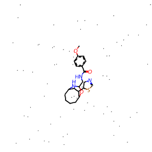 COc1ccc(C(=O)NCC2NC3CCCCC(O2)C(C2CN=CS2)C3)cc1